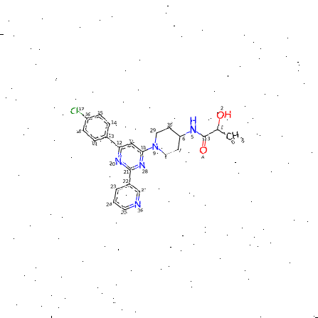 CC(O)C(=O)NC1CCN(c2cc(-c3ccc(Cl)cc3)nc(-c3cccnc3)n2)CC1